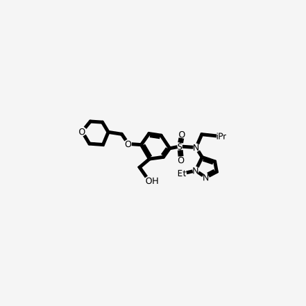 CCn1nccc1N(CC(C)C)S(=O)(=O)c1ccc(OCC2CCOCC2)c(CO)c1